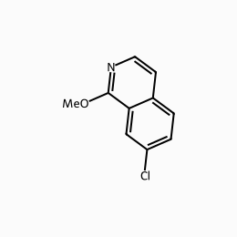 COc1nccc2ccc(Cl)cc12